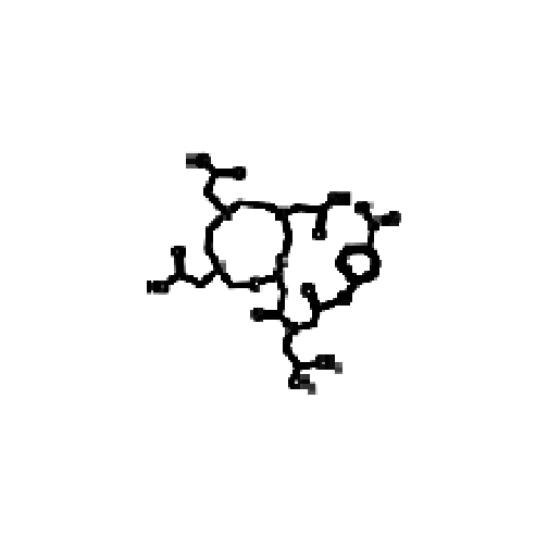 CC(C)CN(CC(=O)Oc1ccc([N+](=O)[O-])cc1)C(=O)CN1CCN(CC(=O)O)CCN(CC(=O)O)CCN(CC(=O)O)CC1